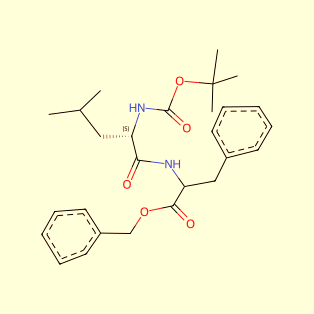 CC(C)C[C@H](NC(=O)OC(C)(C)C)C(=O)NC(Cc1ccccc1)C(=O)OCc1ccccc1